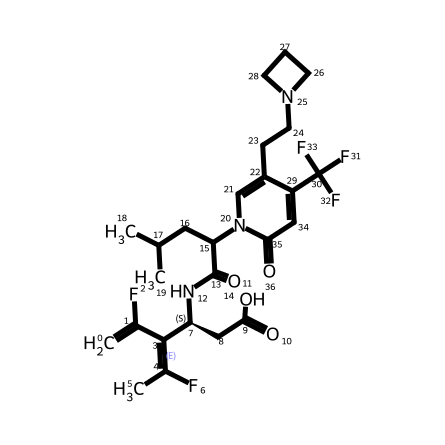 C=C(F)/C(=C(\C)F)[C@H](CC(=O)O)NC(=O)C(CC(C)C)n1cc(CCN2CCC2)c(C(F)(F)F)cc1=O